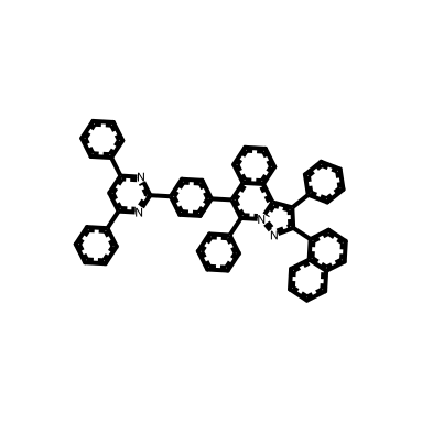 c1ccc(-c2cc(-c3ccccc3)nc(-c3ccc(-c4c(-c5ccccc5)n5nc(-c6cccc7ccccc67)c(-c6ccccc6)c5c5ccccc45)cc3)n2)cc1